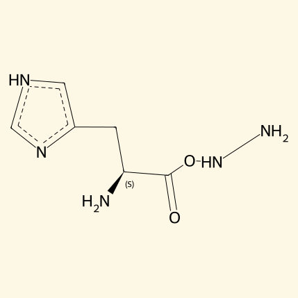 NNOC(=O)[C@@H](N)Cc1c[nH]cn1